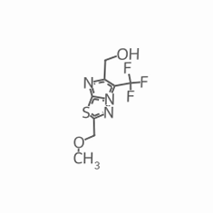 COCc1nn2c(C(F)(F)F)c(CO)nc2s1